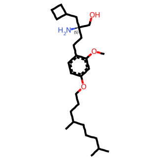 COc1cc(OCCCC(C)CCCC(C)C)ccc1CC[C@@](N)(CO)CC1CCC1